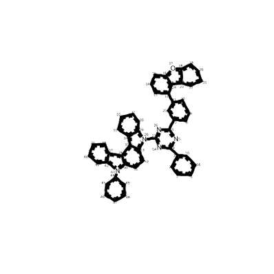 c1ccc(-c2nc(-c3cccc(-c4cccc5oc6ccccc6c45)c3)nc(-n3c4ccccc4c4c5c6ccccc6n(-c6ccccc6)c5ccc43)n2)cc1